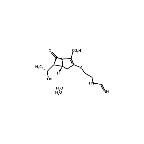 C[C@@H](O)[C@H]1C(=O)N2C(C(=O)O)=C(SCCNC=N)C[C@H]12.O.O